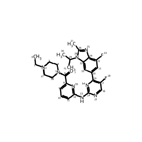 CCN1CCN(C(=O)c2cccc(Nc3ncc(F)c(-c4cc(F)c5nc(C)n(C(C)C)c5c4)n3)n2)CC1